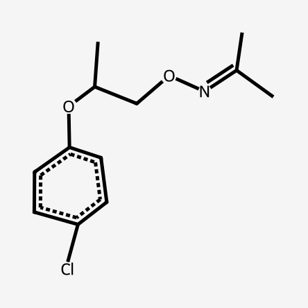 CC(C)=NOCC(C)Oc1ccc(Cl)cc1